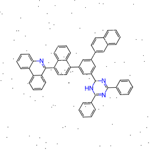 c1ccc(C2=NC(c3cc(-c4ccc5ccccc5c4)cc(-c4ccc(-c5nc6ccccc6c6ccccc56)c5ccccc45)c3)NC(c3ccccc3)=N2)cc1